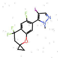 Cn1ncc(I)c1-c1cc2c(cc1F)C(F)(F)CC1(CC1)O2